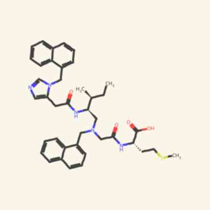 CC[C@H](C)[C@@H](CN(CC(=O)N[C@@H](CCSC)C(=O)O)Cc1cccc2ccccc12)NC(=O)Cc1cncn1Cc1cccc2ccccc12